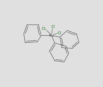 [Cl][Ru]([Cl])([Cl])([c]1ccccc1)([c]1ccccc1)[c]1ccccc1